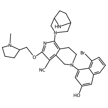 CN1CCCC1COc1nc(N2CC3CCC(C2)N3)c2c(c1C#N)CN(c1cc(O)cc3cccc(Br)c13)CC2